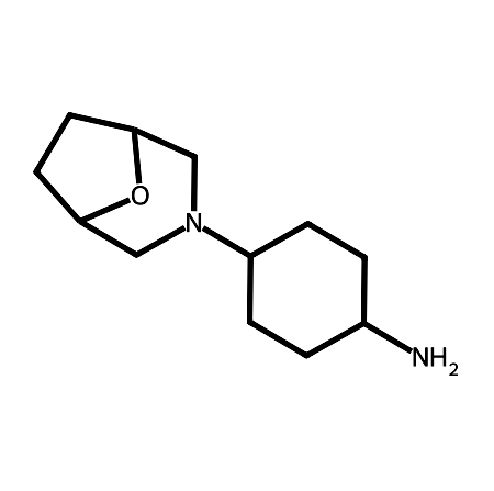 NC1CCC(N2CC3CCC(C2)O3)CC1